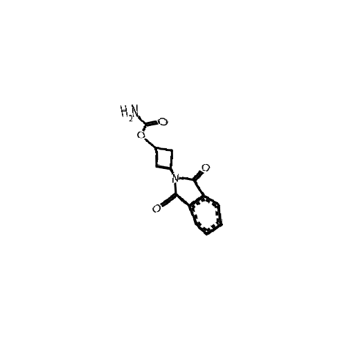 NC(=O)OC1CC(N2C(=O)c3ccccc3C2=O)C1